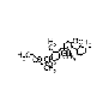 CCOOCC(C)(C)OC1CC(C)C(CC2(C)CCC(OC)=C(C3CCCCC3)N2)C(C)C1